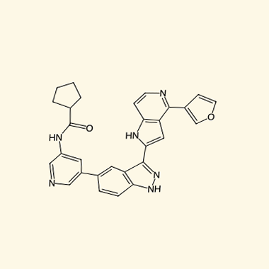 O=C(Nc1cncc(-c2ccc3[nH]nc(-c4cc5c(-c6ccoc6)nccc5[nH]4)c3c2)c1)C1CCCC1